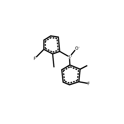 Cc1c(F)cccc1[S+]([O-])c1cccc(F)c1C